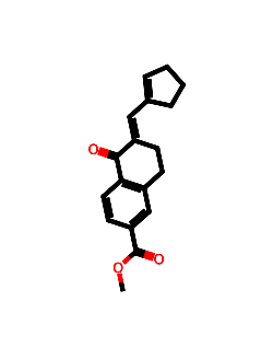 COC(=O)c1ccc2c(c1)CC/C(=C\C1=CCCC1)C2=O